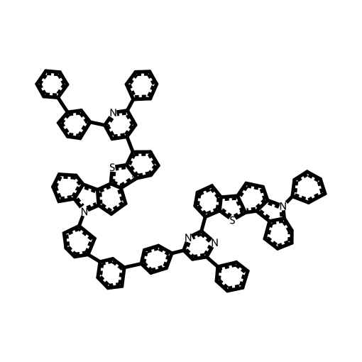 c1ccc(-c2cccc(-c3cc(-c4cccc5c4sc4c5ccc5c4c4ccccc4n5-c4cccc(-c5cccc(-c6ccc(-c7cc(-c8ccccc8)nc(-c8cccc9c8sc8c9ccc9c8c8ccccc8n9-c8ccccc8)n7)cc6)c5)c4)cc(-c4ccccc4)n3)c2)cc1